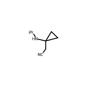 CC(C)NC1(CC#N)CC1